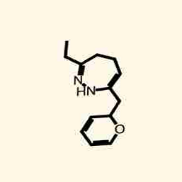 CCC1=NNC(CC2C=CC=CO2)=CCC1